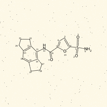 NS(=O)(=O)c1ccc(C(=O)Nc2c3c(cc4c2CCC4)CCC3)o1